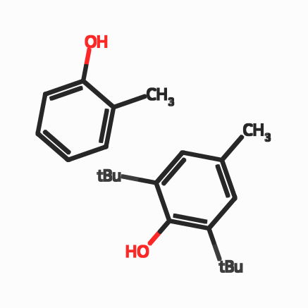 Cc1cc(C(C)(C)C)c(O)c(C(C)(C)C)c1.Cc1ccccc1O